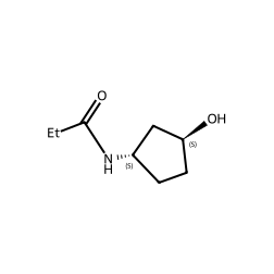 CCC(=O)N[C@H]1CC[C@H](O)C1